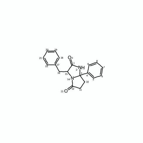 O=C1NC2(c3ccccc3)CCC(=O)N2C1Cc1ccccc1